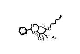 C=CCCCO[C@H]1OC2COC(c3ccccc3)O[C@@H]2C(O)[C@@H]1NC(C)=O